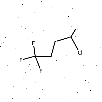 [CH2]C(Cl)CCC(F)(F)F